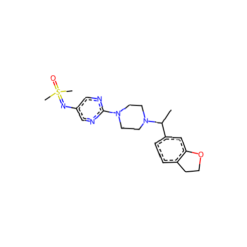 CC(c1ccc2c(c1)OCC2)N1CCN(c2ncc(N=S(C)(C)=O)cn2)CC1